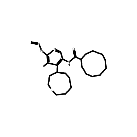 C=NNc1ncc(NC(=O)C2CCCCCCCCC2)c(C2CCCCCCCC2)c1C